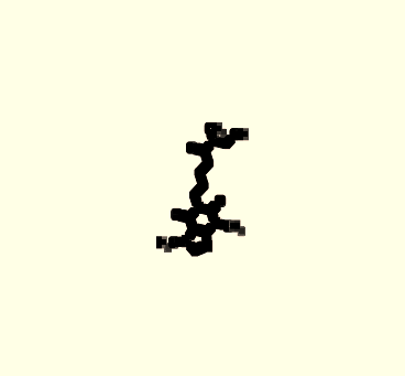 CN(CO)C(=O)CCCCn1c(=O)c2c(ncn2C)n(C)c1=O